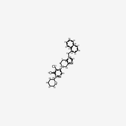 O=c1c(Cl)c(N2CCc3c(ncn3Cc3cccc4ccccc34)C2)cnn1C1CCCCO1